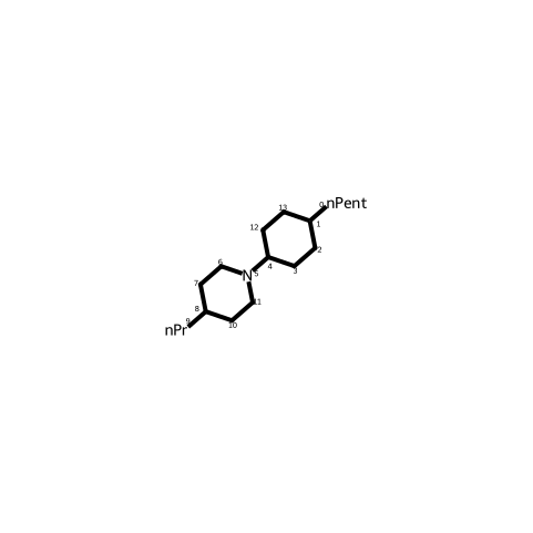 CCCCCC1CCC(N2CCC(CCC)CC2)CC1